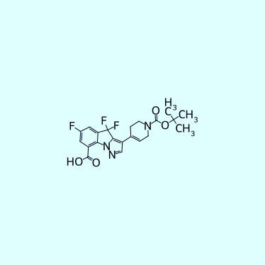 CC(C)(C)OC(=O)N1CC=C(c2cnn3c2C(F)(F)c2cc(F)cc(C(=O)O)c2-3)CC1